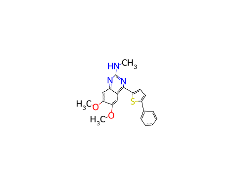 CNc1nc(-c2ccc(-c3ccccc3)s2)c2cc(OC)c(OC)cc2n1